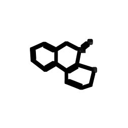 O=[PH]1Cc2ccccc2C2=C1OCC=C2